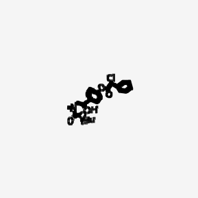 CN(CC(O)c1ccc(OC(=O)C(Cl)c2ccccc2)cc1)C(=O)OC(C)(C)C